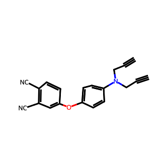 C#CCN(CC#C)c1ccc(Oc2ccc(C#N)c(C#N)c2)cc1